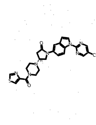 O=C(c1cscn1)N1CCN([C@@H]2CC(=O)N(c3ccc4c(ccn4-c4ncc(C(F)(F)F)cn4)c3)C2)CC1